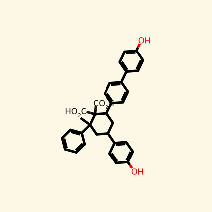 CC1(c2ccccc2)CC(c2ccc(O)cc2)CC(c2ccc(-c3ccc(O)cc3)cc2)C1(C(=O)O)C(=O)O